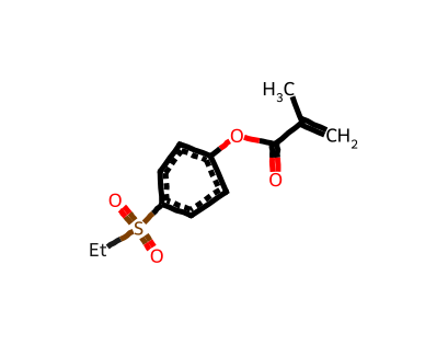 C=C(C)C(=O)Oc1ccc(S(=O)(=O)CC)cc1